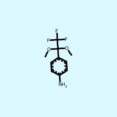 COC(OC)(c1ccc(N)cc1)C(F)(F)F